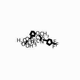 Cc1nc(-c2ccc(C(F)(F)F)cc2)sc1C(C)(C)Oc1cccc(COC(C)(C)C(=O)O)c1